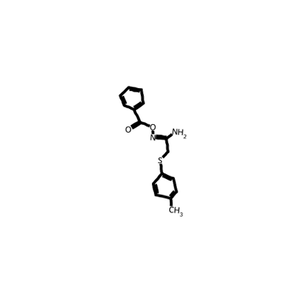 Cc1ccc(SCC(N)=NOC(=O)c2ccccc2)cc1